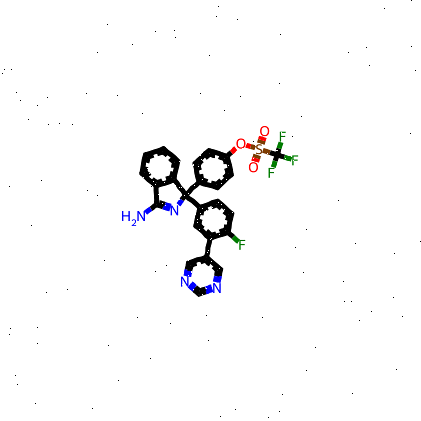 NC1=NC(c2ccc(OS(=O)(=O)C(F)(F)F)cc2)(c2ccc(F)c(-c3cncnc3)c2)c2ccccc21